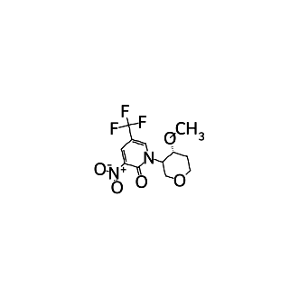 CO[C@@H]1CCOCC1n1cc(C(F)(F)F)cc([N+](=O)[O-])c1=O